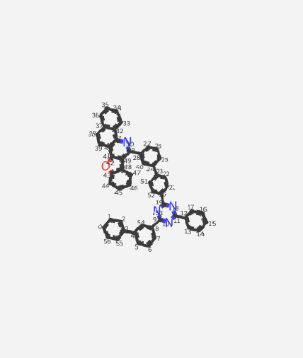 c1ccc(-c2cccc(-c3nc(-c4ccccc4)nc(-c4ccc(-c5cccc(-c6nc7c8ccccc8ccc7c7oc8ccccc8c67)c5)cc4)n3)c2)cc1